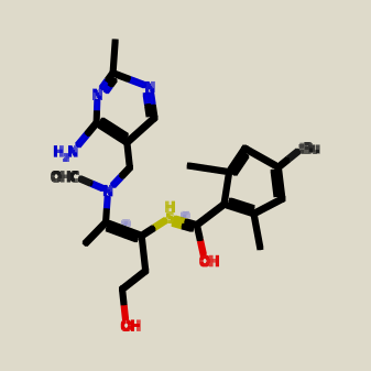 C/C(=C(CCO)/[SH]=C(\O)c1c(C)cc(C(C)(C)C)cc1C)N(C=O)Cc1cnc(C)nc1N